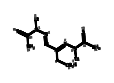 CCN(N=CC(CC(=O)O)=NN(CC)C(N)=S)C(N)=S